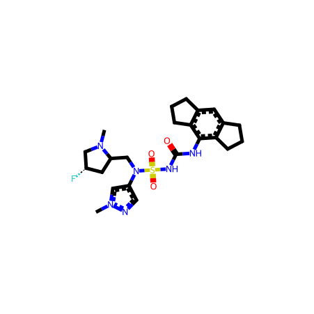 CN1C[C@@H](F)CC1CN(c1cnn(C)c1)S(=O)(=O)NC(=O)Nc1c2c(cc3c1CCC3)CCC2